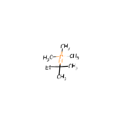 CCC(C)(C)[PH](C)(C)C